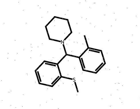 CSc1ccccc1C(c1ccccc1C)N1CCCCC1